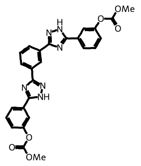 COC(=O)Oc1cccc(-c2nc(-c3cccc(-c4n[nH]c(-c5cccc(OC(=O)OC)c5)n4)c3)n[nH]2)c1